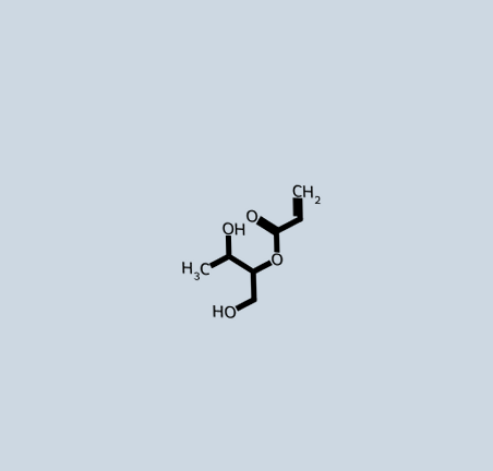 C=CC(=O)OC(CO)C(C)O